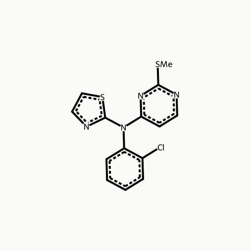 CSc1nccc(N(c2nccs2)c2ccccc2Cl)n1